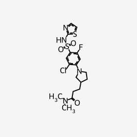 CN(C)C(=O)CCC1CCN(c2cc(F)c(S(=O)(=O)Nc3nccs3)cc2Cl)C1